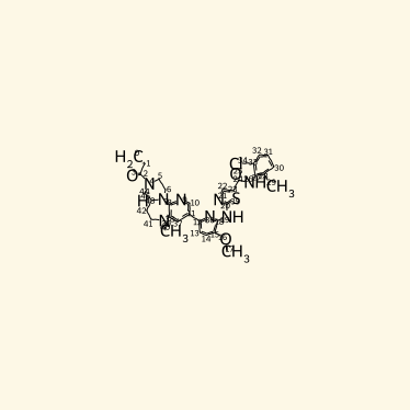 C=CC(=O)N1CCN2c3ncc(-c4ccc(OC)c(Nc5ncc(C(=O)Nc6c(C)cccc6Cl)s5)n4)cc3N(C)CC[C@H]2C1